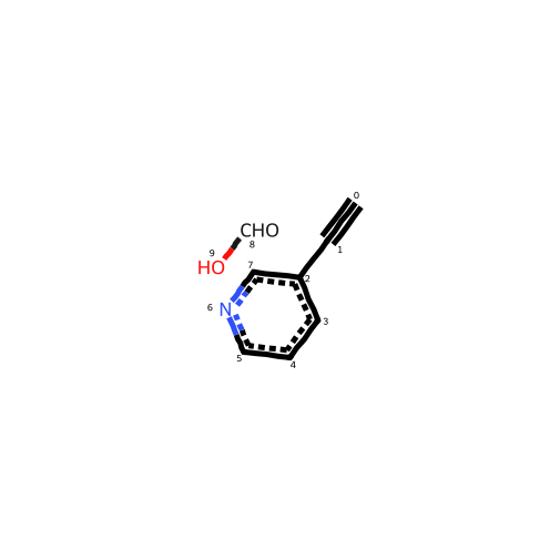 C#Cc1cccnc1.O=CO